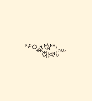 COCC(=O)N[C@@H](C)CNc1nccc(-c2[nH]c(-c3ccc(C(F)(F)F)cc3)nc2-c2cnc(N)c(C)n2)n1